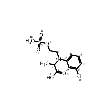 CC(C(=O)O)N(CCOS(C)(=O)=O)c1cccc(Cl)c1